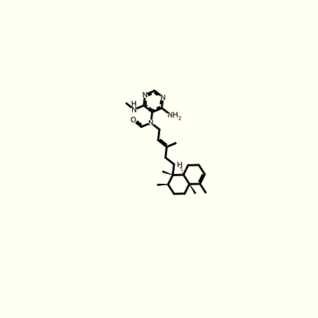 CNc1ncnc(N)c1N(C=O)C/C=C(\C)CC[C@@]1(C)[C@H](C)CC[C@@]2(C)C(C)=CCC[C@H]12